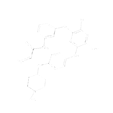 C=CC(=O)Nc1cccc(Oc2nc(Nc3ccc(OC4CCN(C)CC4)cc3)c(C=O)nc2CC)c1